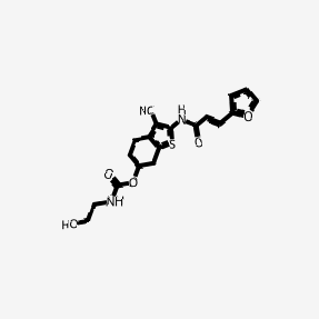 N#Cc1c(NC(=O)C=Cc2ccco2)sc2c1CCC(OC(=O)NCCO)C2